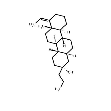 C/C=C1/CCC[C@H]2[C@@H]3CC[C@H]4C[C@@](O)(CCC)CC[C@@H]4[C@H]3CC[C@]12C